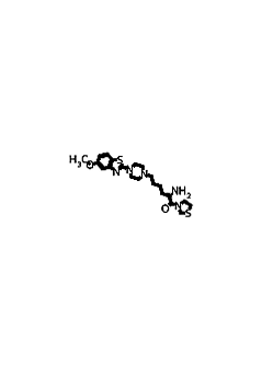 COc1ccc2sc(N3CCN(CCCC[C@H](N)C(=O)N4CCSC4)CC3)nc2c1